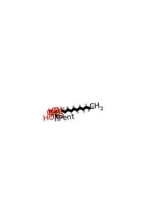 C=CCCCCCCCCCP(=O)(O)C(CCCCC)P(=O)(O)O